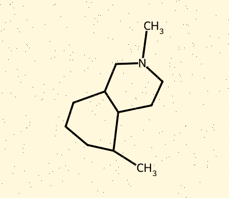 CC1CCCC2CN(C)CCC12